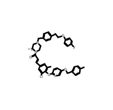 Cc1ccc(COc2ccc(Oc3c(C)cc(C=CC(=O)N4CCN(Cc5ccc(CCOc6ccc(F)cc6)cc5)C[C@H]4C)cc3Cl)nc2)cc1